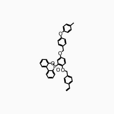 C=Cc1ccc(COc2ccc(OCc3ccc(Oc4ccc(C)cc4)cc3)cc2P2(=O)Oc3ccccc3-c3ccccc32)cc1